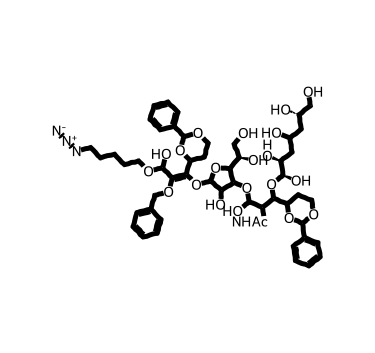 CC(=O)NC(C(O)OC1C(O)C(O/C(=C(\OCc2ccccc2)C(O)OCCCCCN=[N+]=[N-])C2CCOC(c3ccccc3)O2)OC1[C@H](O)CO)C(O[C@H](O)[C@@H](O)CC(O)C[C@H](O)CO)C1CCOC(c2ccccc2)O1